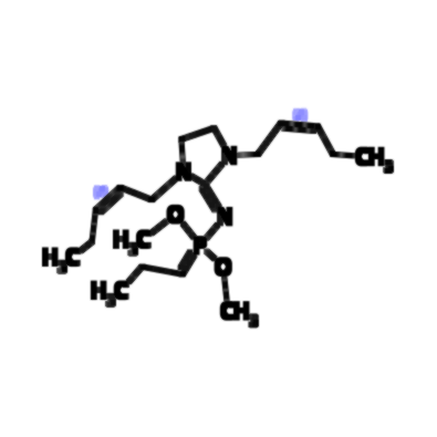 CCC=P(N=C1N(C/C=C\CC)CCN1C/C=C\CC)(OC)OC